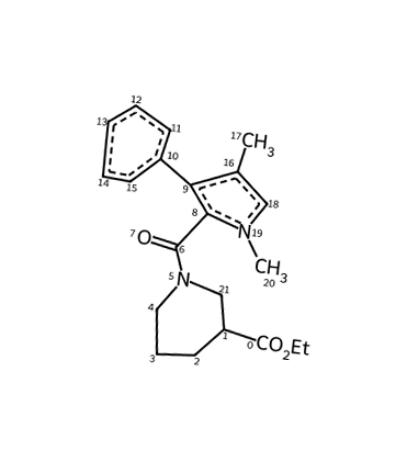 CCOC(=O)C1CCCN(C(=O)c2c(-c3ccccc3)c(C)cn2C)C1